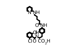 O=C(CCCCNc1ccccn1)Nc1ccc(C[C@H](NC(=O)c2c(Cl)cccc2Cl)C(=O)O)cc1